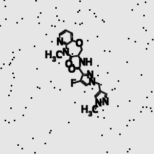 CN1C(=O)C(NC(=O)c2nn(Cc3cnn(C)c3)cc2F)COc2cccnc21